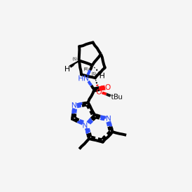 Cc1cc(C)n2cnc(C(=O)N[C@@H]3C4CC[C@H]3C[C@@H](OC(C)(C)C)C4)c2n1